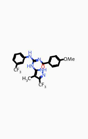 COc1ccc(C(=O)/N=C(/Nc2cccc(C(F)(F)F)c2)Nc2[nH]nc(C(F)(F)F)c2C)cc1